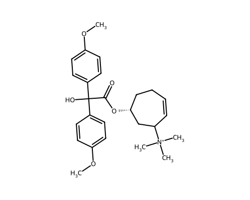 COc1ccc(C(O)(C(=O)O[C@@H]2CCC=CC([N+](C)(C)C)C2)c2ccc(OC)cc2)cc1